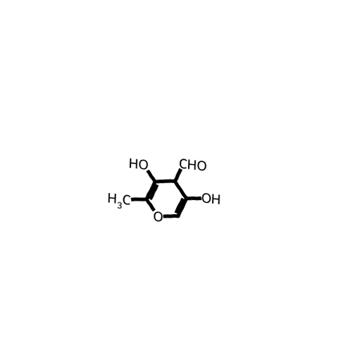 CC1=C(O)C(C=O)C(O)=CO1